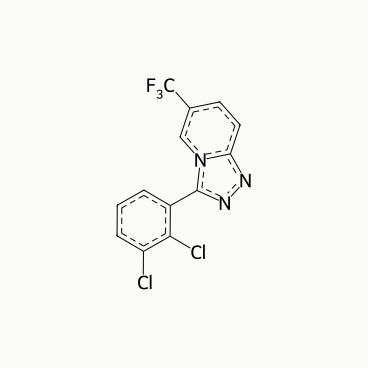 FC(F)(F)c1ccc2nnc(-c3cccc(Cl)c3Cl)n2c1